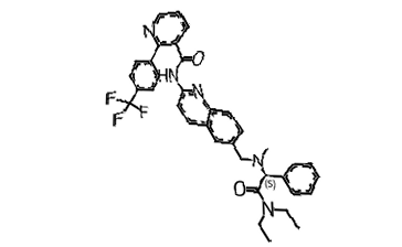 CCN(CC)C(=O)[C@H](c1ccccc1)N(C)Cc1ccc2nc(NC(=O)c3cccnc3-c3ccc(C(F)(F)F)cc3)ccc2c1